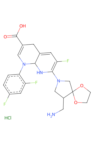 Cl.NCC1CN(C2=C(F)C=C3CC(C(=O)O)=CN(c4ccc(F)cc4F)C3N2)CC12OCCO2